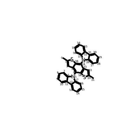 Cc1cc2c(-n3c4ccccc4c4ccccc43)c3sc(C)cc3c(-n3c4ccccc4c4ccccc43)c2s1